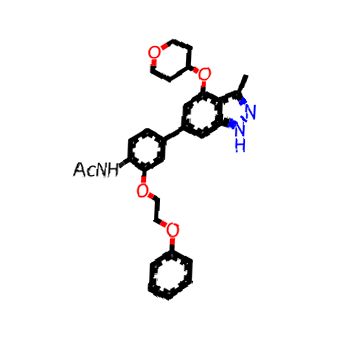 CC(=O)Nc1ccc(-c2cc(OC3CCOCC3)c3c(C)n[nH]c3c2)cc1OCCOc1ccccc1